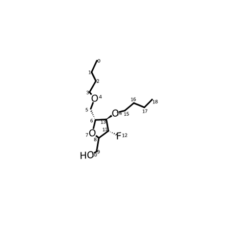 CCCCOC[C@H]1OC(CO)[C@@H](F)[C@@H]1OCCCC